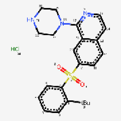 CC(C)(C)c1ccccc1S(=O)(=O)c1ccc2ccnc(N3CCNCC3)c2c1.Cl